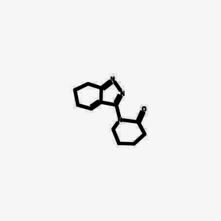 O=C1CCCCN1C1=NN=C2CCCC=C21